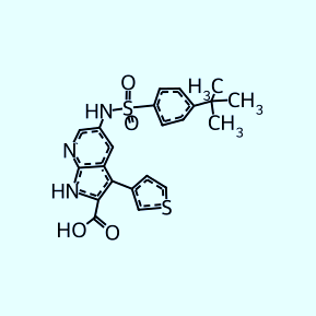 CC(C)(C)c1ccc(S(=O)(=O)Nc2cnc3[nH]c(C(=O)O)c(-c4ccsc4)c3c2)cc1